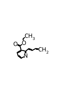 C=CC=Cc1ncccc1C(=O)OCC